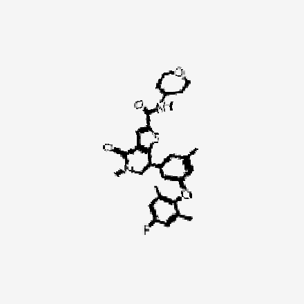 Cc1cc(Oc2c(C)cc(F)cc2C)cc(-c2cn(C)c(=O)c3cc(C(=O)NC4CCOCC4)sc23)c1